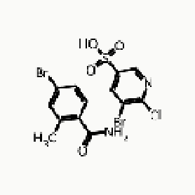 Cc1cc(Br)ccc1C(N)=O.O=S(=O)(O)c1cnc(Cl)c(Br)c1